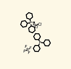 C1CCC(P(C2CCCCC2)C2CCCCC2)CC1.F[B-](F)(F)F.[Cl][Ru]([Cl])=[CH][P+](C1CCCCC1)(C1CCCCC1)C1CCCCC1